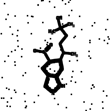 CN(CCC(C)(C)O)c1cc2[nH]ncc2cc1[N+](=O)[O-]